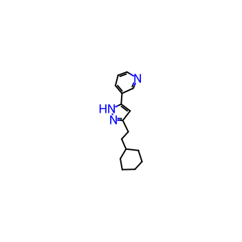 c1cncc(-c2cc(CCC3CCCCC3)n[nH]2)c1